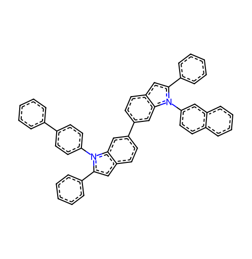 c1ccc(-c2ccc(-n3c(-c4ccccc4)cc4ccc(-c5ccc6cc(-c7ccccc7)n(-c7ccc8ccccc8c7)c6c5)cc43)cc2)cc1